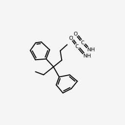 CCCC(CC)(c1ccccc1)c1ccccc1.N=C=O.N=C=O